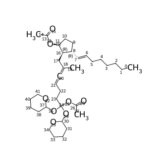 CCCCCCC=C[C@H]1CC[C@H](OC(C)=O)[C@@H]1CC(C)=C=CCCC(OC(C)=O)(OC1CCCCO1)OC1CCCCO1